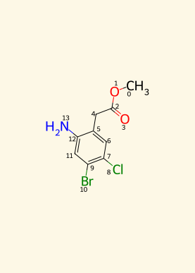 COC(=O)Cc1cc(Cl)c(Br)cc1N